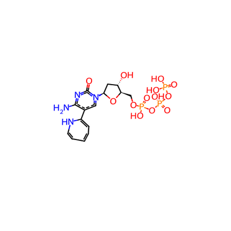 Nc1nc(=O)n([C@H]2C[C@H](O)[C@@H](COP(=O)(O)OP(=O)(O)OP(=O)(O)O)O2)cc1C1=CC=CC=CN1